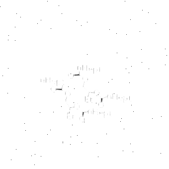 CCCCCCCC(=O)OCC(CC)OC(=O)CCCCCCC.CCCCCCCC(=O)OCC(CC)OC(=O)CCCCCCC